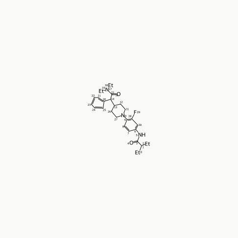 CCC(CC)C(=O)Nc1ccc(N2CCC(C(C(=O)N(CC)CC)c3ccccc3)CC2)c(F)c1